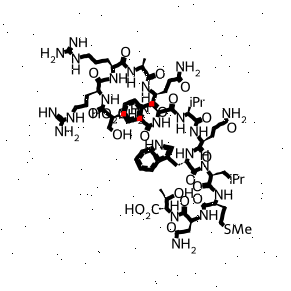 CSCC[C@H](NC(=O)[C@H](CC(C)C)NC(=O)[C@H](Cc1c[nH]c2ccccc12)NC(=O)[C@H](CCC(N)=O)NC(=O)[C@@H](NC(=O)[C@H](Cc1ccccc1)NC(=O)[C@H](CC(=O)O)NC(=O)[C@H](CCC(N)=O)NC(=O)[C@H](C)NC(=O)[C@H](CCCNC(=N)N)NC(=O)[C@H](CCCNC(=N)N)NC(=O)[C@@H](N)CO)C(C)C)C(=O)N[C@@H](CC(N)=O)C(=O)N[C@H](C(=O)O)[C@@H](C)O